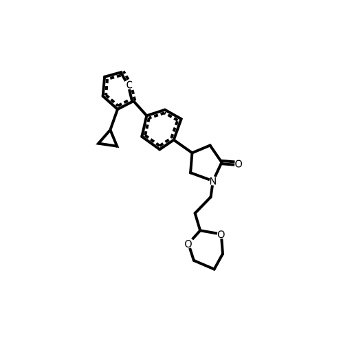 O=C1CC(c2ccc(-c3ccccc3C3CC3)cc2)CN1CCC1OCCCO1